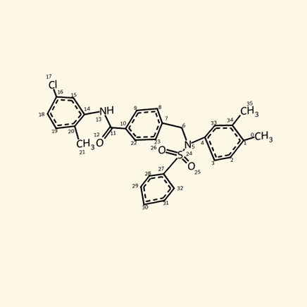 Cc1ccc(N(Cc2ccc(C(=O)Nc3cc(Cl)ccc3C)cc2)S(=O)(=O)c2ccccc2)cc1C